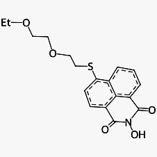 CCOCCOCCSc1ccc2c3c(cccc13)C(=O)N(O)C2=O